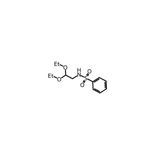 CCOC(CNS(=O)(=O)c1ccccc1)OCC